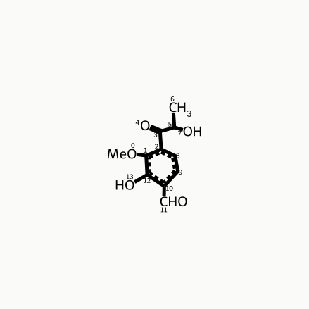 COc1c(C(=O)C(C)O)ccc(C=O)c1O